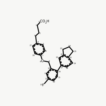 O=C(O)CCCc1ccc(OCc2cc(F)ccc2-c2ccc3c(c2)CCC3)cc1